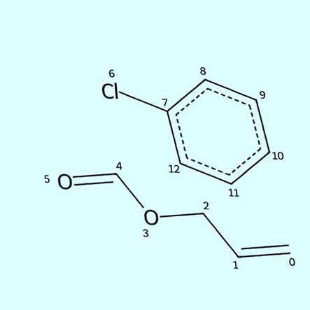 C=CCOC=O.Clc1ccccc1